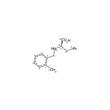 Cc1ccccc1CN[C@H](CC(C)C)C(=O)O